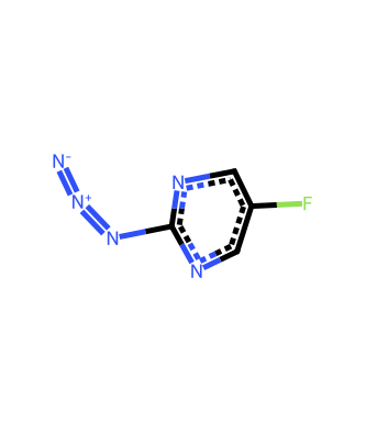 [N-]=[N+]=Nc1ncc(F)cn1